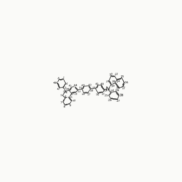 c1ccc([C@@H]2Cc3ccccc3-c3cc(-c4ccc(-c5ccc(N(c6ccccc6)c6cccc7ccccc67)cc5)cc4)ccc32)cc1